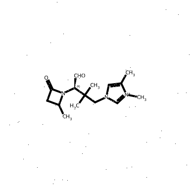 Cc1cn(CC(C)(C)[C@H](C=O)N2C(=O)CC2C)c[n+]1C